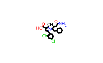 Cc1c(C(=O)O)cc(-c2ccc(Cl)cc2Cl)n1C(CCC(N)=O)CC1CCCCC1